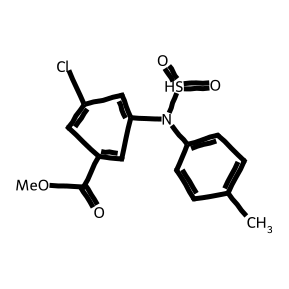 COC(=O)c1cc(Cl)cc(N(c2ccc(C)cc2)[SH](=O)=O)c1